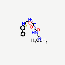 CN(C)CCCNC(=O)CNC(=O)Cc1nnc(Cc2nc3ccc(-c4ccccc4)cc3s2)o1